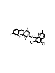 Cc1ccc2c(Cl)cc(Cl)c(OCN3C[C@H](C)N(Cc4ccc(F)cc4)C(=C=O)[C@H]3C)c2n1